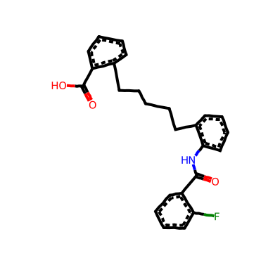 O=C(Nc1ccccc1CCCCCc1ccccc1C(=O)O)c1ccccc1F